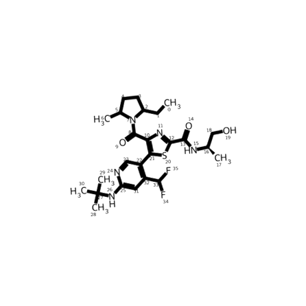 CCC1CCC(C)N1C(=O)c1nc(C(=O)N[C@H](C)CO)sc1-c1cnc(NC(C)(C)C)cc1C(F)F